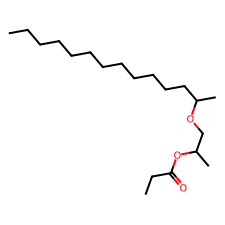 CCCCCCCCCCCCC(C)OCC(C)OC(=O)CC